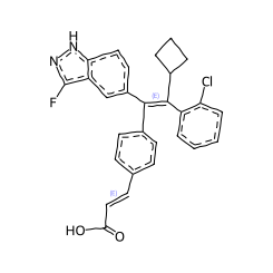 O=C(O)/C=C/c1ccc(/C(=C(\c2ccccc2Cl)C2CCC2)c2ccc3[nH]nc(F)c3c2)cc1